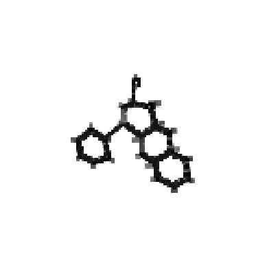 Clc1cc(-c2ccccc2)c2cc3ccccc3cc2n1